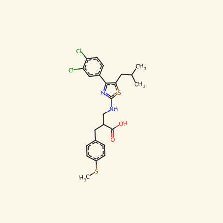 CSc1ccc(CC(CNc2nc(-c3ccc(Cl)c(Cl)c3)c(CC(C)C)s2)C(=O)O)cc1